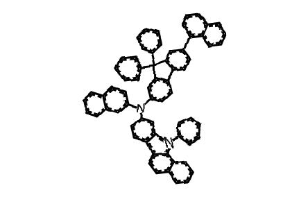 c1ccc(-n2c3cc(N(c4ccc5c(c4)C(c4ccccc4)(c4ccccc4)c4cc(-c6cccc7ccccc67)ccc4-5)c4ccc5ccccc5c4)ccc3c3ccc4ccccc4c32)cc1